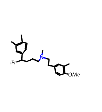 COc1ccc(CCN(C)CCCC(c2ccc(C)c(C)c2)C(C)C)cc1C